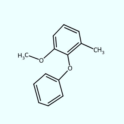 COc1cccc(C)c1Oc1ccccc1